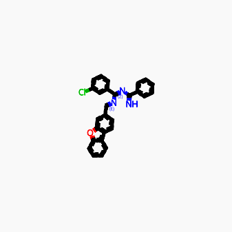 N=C(/N=C(\N=C\c1ccc2c(c1)oc1ccccc12)c1cccc(Cl)c1)c1ccccc1